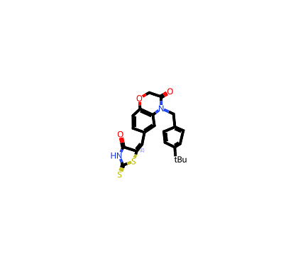 CC(C)(C)c1ccc(CN2C(=O)COc3ccc(/C=C4/SC(=S)NC4=O)cc32)cc1